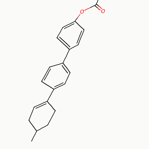 CCCC(=O)Oc1ccc(-c2ccc(C3=CCC(C)CC3)cc2)cc1